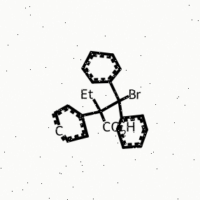 CCC(C(=O)O)(c1ccccc1)C(Br)(c1ccccc1)c1ccccc1